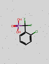 O=P(O)(O)C(F)(F)c1cc[c]cc1Cl